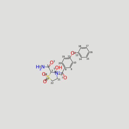 NC(=O)C1[N@@+](O)(C(=O)c2ccc(Oc3ccccc3)cc2)CCS1(=O)=O